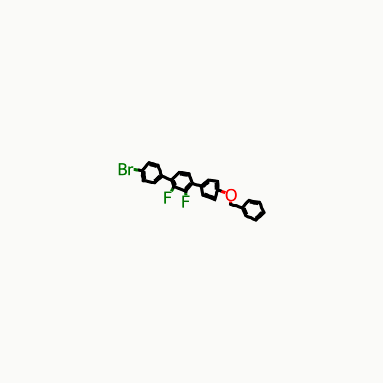 Fc1c(-c2ccc(Br)cc2)ccc(-c2ccc(OCc3ccccc3)cc2)c1F